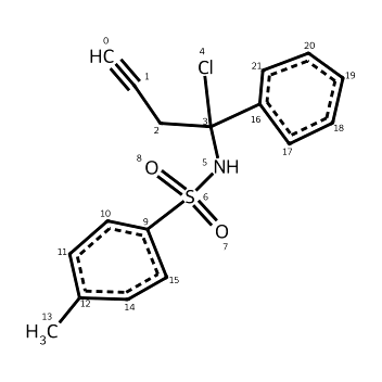 C#CCC(Cl)(NS(=O)(=O)c1ccc(C)cc1)c1ccccc1